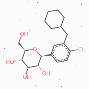 OC[C@H]1O[C@@H](c2ccc(Cl)c(CC3CCCCC3)c2)[C@H](O)[C@@H](O)[C@@H]1O